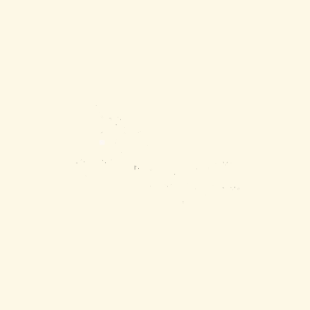 COc1cc2c(cc1OC)CN(CC(=O)Nc1ccc3c(c1)/C(=C\c1nccn1C)C(=O)N3)CC2